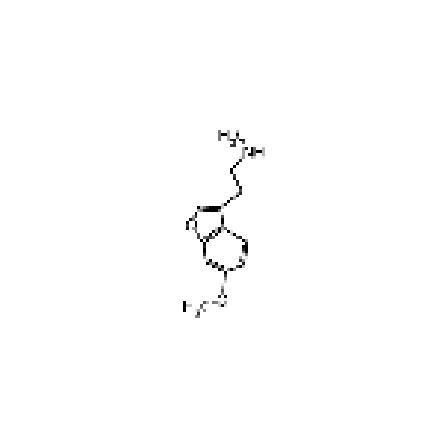 CNCCc1coc2cc(OC)ccc12